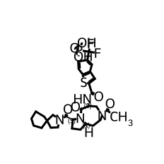 CC(=O)N1CC[C@H]2CC[C@@H](C(=O)N3CCC4(CCCCC4)C3)N2C(=O)[C@@H](NC(=O)c2cc3cc(C(F)(F)P(=O)(O)O)ccc3s2)C1